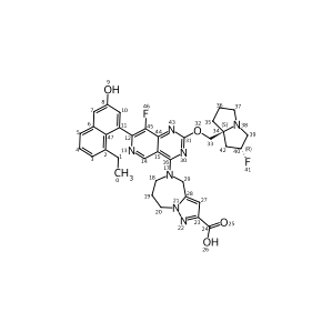 CCc1cccc2cc(O)cc(-c3ncc4c(N5CCCn6nc(C(=O)O)cc6C5)nc(OC[C@@]56CCCN5C[C@H](F)C6)nc4c3F)c12